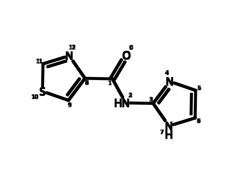 O=C(Nc1ncc[nH]1)c1cscn1